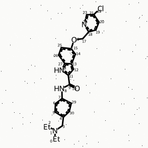 CCN(CC)Cc1ccc(NC(=O)c2cc3cc(OCc4ccc(Cl)cn4)ccc3[nH]2)cc1